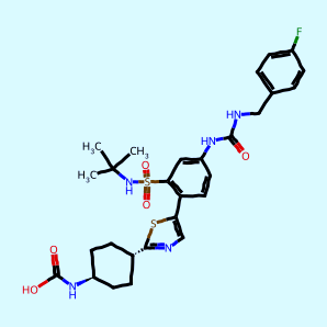 CC(C)(C)NS(=O)(=O)c1cc(NC(=O)NCc2ccc(F)cc2)ccc1-c1cnc([C@H]2CC[C@H](NC(=O)O)CC2)s1